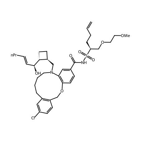 C=CCC[C@@H](COCCOC)S(=O)(=O)NC(=O)c1ccc2c(c1)N(C[C@@H]1CC[C@H]1[C@@H](O)/C=C/CCC)CCCCc1cc(Cl)ccc1CO2